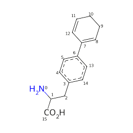 NC(Cc1ccc(C2=CCCC=C2)cc1)C(=O)O